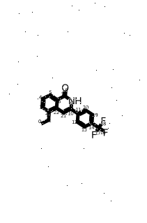 CCc1cccc2c(=O)[nH]c(-c3ccc(C(F)(F)F)cc3)cc12